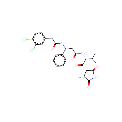 CC(C)[C@H](NC(=O)C[C@H](NC(=O)Cc1ccc(Cl)c(Cl)c1)c1ccccc1)C(=O)[C@@H]1C(=O)NC(=O)[C@H]1C